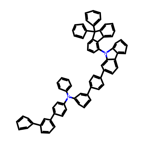 c1ccc(-c2cccc(-c3ccc(N(c4ccccc4)c4cccc(-c5ccc(-c6ccc7c8ccccc8n(-c8cccc9c8-c8ccccc8C9(c8ccccc8)c8ccccc8)c7c6)cc5)c4)cc3)c2)cc1